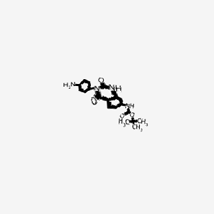 CC(C)(C)OC(=O)Nc1ccc2c(=O)n(-c3ccc(N)cc3)c(=O)[nH]c2c1